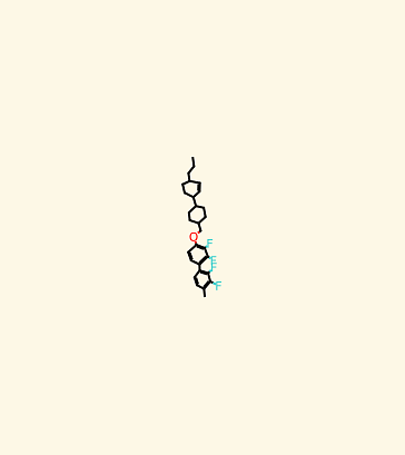 CCCC1C=CC(C2CCC(COc3ccc(-c4ccc(C)c(F)c4F)c(F)c3F)CC2)CC1